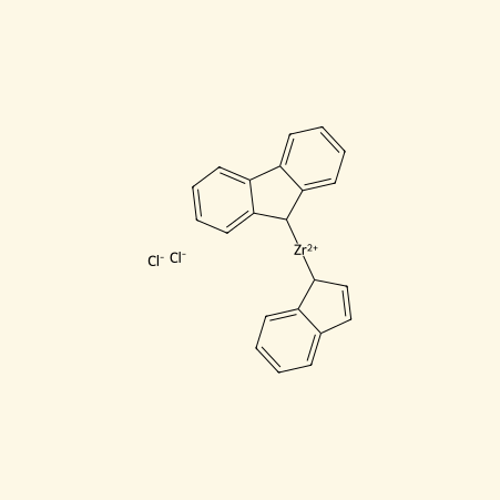 C1=C[CH]([Zr+2][CH]2c3ccccc3-c3ccccc32)c2ccccc21.[Cl-].[Cl-]